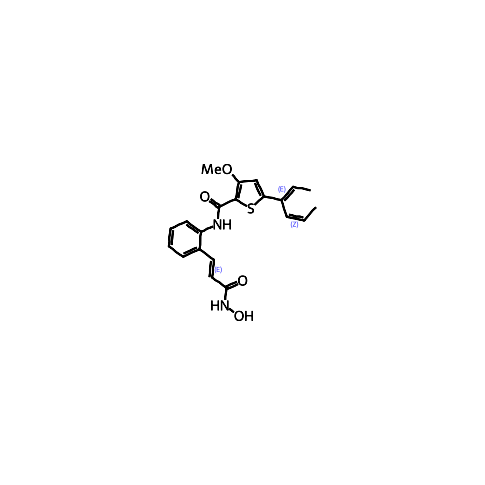 C/C=C\C(=C/C)c1cc(OC)c(C(=O)Nc2ccccc2/C=C/C(=O)NO)s1